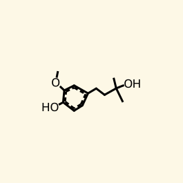 COc1cc(CCC(C)(C)O)ccc1O